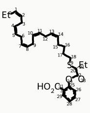 CC/C=C\C/C=C\C/C=C\C/C=C\C/C=C\CCCCS[C@H](CC)C(=O)Oc1ccccc1C(=O)O